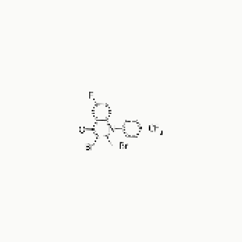 O=c1c(Br)c(CBr)n(-c2ccc(C(F)(F)F)cc2)c2ccc(F)cc12